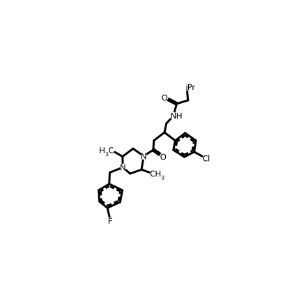 CC(C)CC(=O)NCC(CC(=O)N1CC(C)N(Cc2ccc(F)cc2)CC1C)c1ccc(Cl)cc1